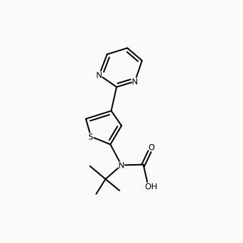 CC(C)(C)N(C(=O)O)c1cc(-c2ncccn2)cs1